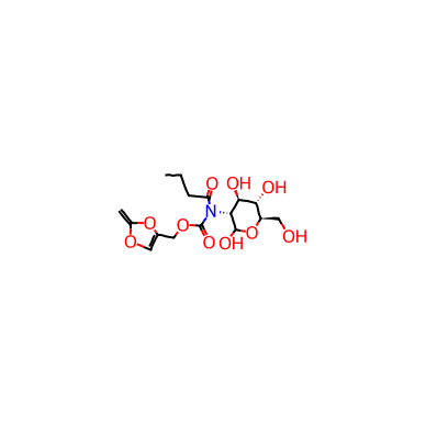 C=C1OC=C(COC(=O)N(C(=O)CCC)[C@H]2C(O)O[C@H](CO)[C@@H](O)[C@@H]2O)O1